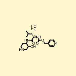 CC(C)C[C@H](NC(=O)OCc1ccncc1)C(=O)NC1CCNCC1O.Cl.Cl